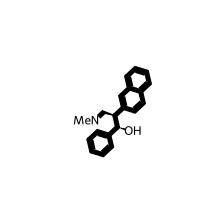 CNC[C@@H](c1ccc2ccccc2c1)[C@H](O)c1ccccc1